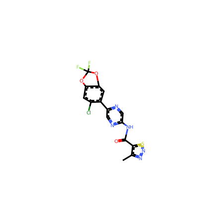 Cc1nnsc1C(=O)Nc1cnc(-c2cc3c(cc2Cl)OC(F)(F)O3)cn1